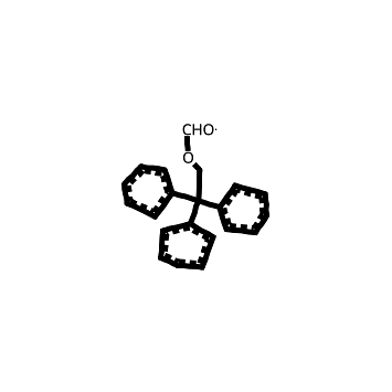 O=[C]OCC(c1ccccc1)(c1ccccc1)c1ccccc1